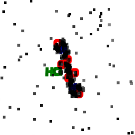 Cl.O=C(/C=C/C(=O)OCCN1CCOCC1)OCCN1CCOCC1